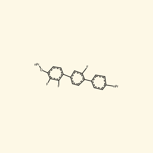 CCCOc1ccc(-c2ccc(-c3ccc(CCC)cc3)c(F)c2)c(F)c1F